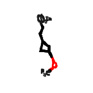 CCOC(=O)CCC1CC(OC(F)(F)F)C1